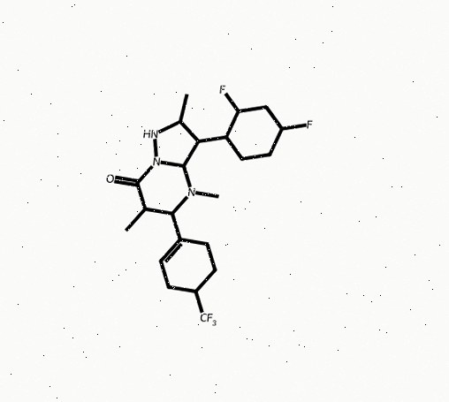 CC1NN2C(=O)C(C)C(C3=CCC(C(F)(F)F)CC3)N(C)C2C1C1CCC(F)CC1F